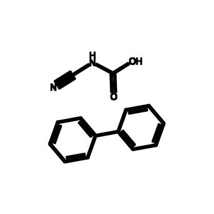 N#CNC(=O)O.c1ccc(-c2ccccc2)cc1